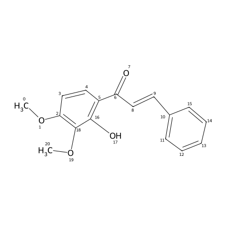 COc1ccc(C(=O)C=Cc2ccccc2)c(O)c1OC